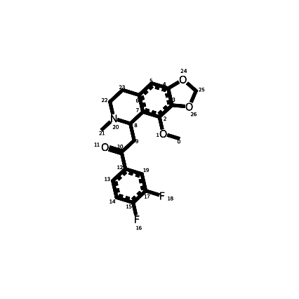 COc1c2c(cc3c1C(CC(=O)c1ccc(F)c(F)c1)N(C)CC3)OCO2